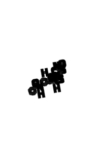 CC1=C(c2csc(NC(=O)Cc3cccc(NC(=O)c4ccccc4)c3)n2)SCOC=N1